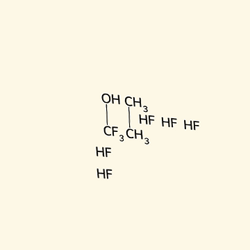 CC.F.F.F.F.F.OC(F)(F)F